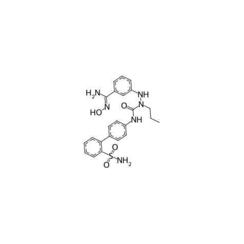 CCCN(Nc1cccc(C(N)=NO)c1)C(=O)Nc1ccc(-c2ccccc2S(N)(=O)=O)cc1